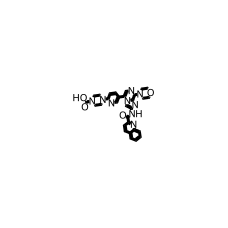 O=C(Nc1cn2c(-c3ccc(N4CCN(C(=O)O)CC4)nc3)cnc(N3CCOCC3)c2n1)c1ccc2ccccc2n1